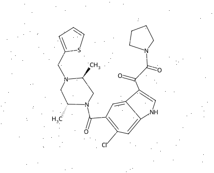 C[C@@H]1CN(Cc2cccs2)[C@@H](C)CN1C(=O)c1cc2c(C(=O)C(=O)N3CCCC3)c[nH]c2cc1Cl